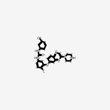 O=C(Nc1cccc(Cl)c1)Nc1ccc(F)c(Oc2ccc3ncc(N4CCNCC4)nc3c2)c1